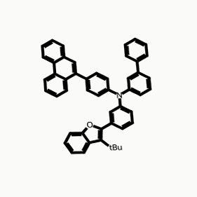 CC(C)(C)c1c(-c2cccc(N(c3ccc(-c4cc5ccccc5c5ccccc45)cc3)c3cccc(-c4ccccc4)c3)c2)oc2ccccc12